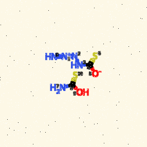 N=[N+]=NNC([O-])=S.NC(O)=S